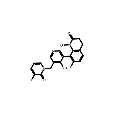 Cc1c(Cn2cccc(F)c2=O)cncc1-c1c(F)ccc2c1N(C)C(=O)CC2